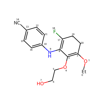 CCOC1=C(OCCO)C(Nc2ccc(C#N)cc2)=C(F)[CH]C1